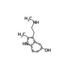 CNCCc1c(C)[nH]c2ccc(O)cc12